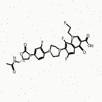 CC(=O)NC[C@H]1CN(c2ccc(N3CCN(c4c(F)cc5c(=O)c(C(=O)O)cn(CCF)c5c4F)CC3)c(F)c2)C(=O)O1